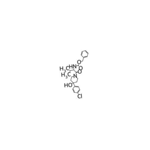 CC(C)C(NC(=O)OCc1ccccc1)C(=O)N1CCC(O)(c2ccc(Cl)cc2)CC1